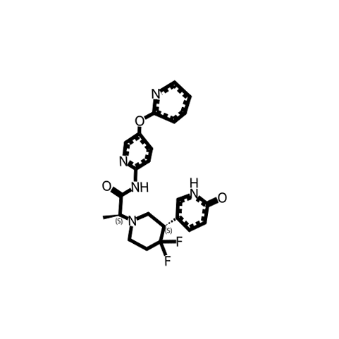 C[C@@H](C(=O)Nc1ccc(Oc2ccccn2)cn1)N1CCC(F)(F)[C@@H](c2ccc(=O)[nH]c2)C1